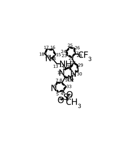 CS(=O)(=O)c1cncc(-c2nc(NCc3ccccn3)c3c(-c4ccccc4C(F)(F)F)ccn3n2)c1